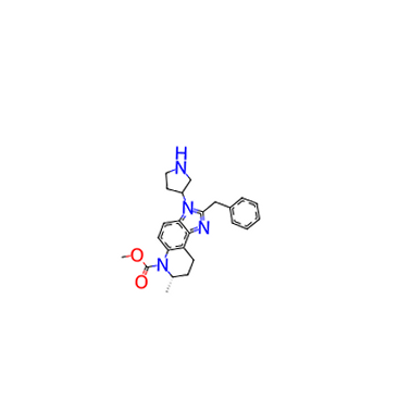 COC(=O)N1c2ccc3c(nc(Cc4ccccc4)n3C3CCNC3)c2CC[C@@H]1C